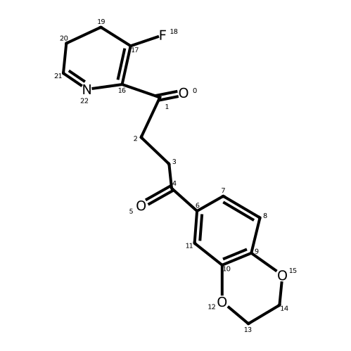 O=C(CCC(=O)c1ccc2c(c1)OCCO2)C1=C(F)CCC=N1